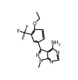 CCOc1ccc(-c2nn(C)c3ncnc(N)c23)cc1C(F)(F)F